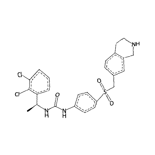 C[C@H](NC(=O)Nc1ccc(S(=O)(=O)Cc2ccc3c(c2)CNCC3)cc1)c1cccc(Cl)c1Cl